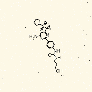 Nc1cc(C2(S(=O)(=O)C3CCCC3)CC2)nc(-c2ccc(NC(=O)NCCCO)cc2)n1